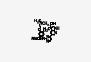 COc1cc(OCCN(C)C)c(Cl)cc1Nc1nccc(-c2cnc3c(c2)C(C)(CO)CN3)n1